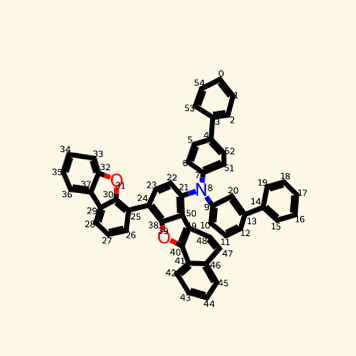 c1ccc(-c2ccc(N(c3cccc(-c4ccccc4)c3)c3ccc(-c4cccc5c4oc4ccccc45)c4oc5c6ccccc6ccc5c34)cc2)cc1